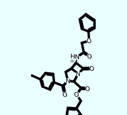 Cc1ccc(C(=O)N2CC3[C@H](NC(=O)COc4ccccc4)C(=O)N3C2C(=O)OCc2ccccc2)cc1